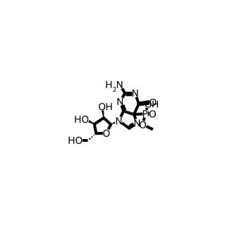 COP(=O)(O)C12N=CN([C@@H]3O[C@H](CO)[C@@H](O)[C@H]3O)C1=NC(N)=NC2=O